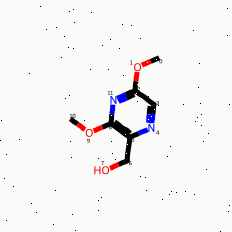 COc1cnc(CO)c(OC)n1